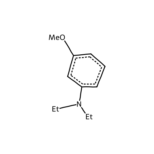 [CH2]Oc1cccc(N(CC)CC)c1